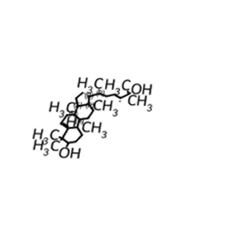 C[C@H](CC[CH]C(C)(C)O)[C@H]1CC[C@@]2(C)[C@@H]3CC=C4C(CCC(O)C4(C)C)[C@]3(C)CC[C@]12C